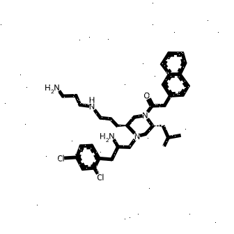 CC(C)C[C@@H]1CN(CC(N)Cc2ccc(Cl)cc2Cl)[C@@H](CCCNCCCN)CN1C(=O)Cc1ccc2ccccc2c1